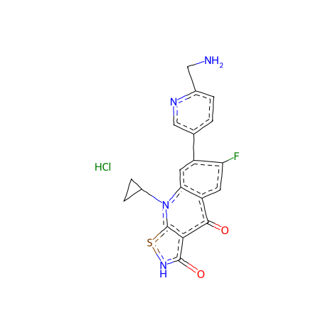 Cl.NCc1ccc(-c2cc3c(cc2F)c(=O)c2c(=O)[nH]sc2n3C2CC2)cn1